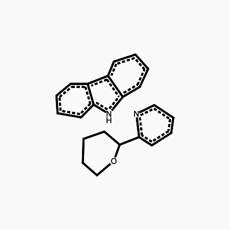 c1ccc(C2CCCCO2)nc1.c1ccc2c(c1)[nH]c1ccccc12